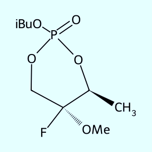 CO[C@]1(F)COP(=O)(OCC(C)C)O[C@H]1C